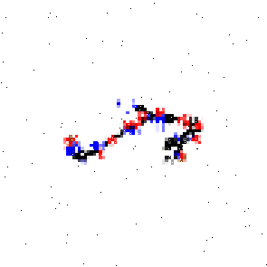 CC[C@@]1(OC(=O)OCc2ccc(NC(=O)[C@H](CCCCN)NC(=O)COCC(=O)NCCCOCCNC(=O)CCC/C=C\c3cnc(S(C)(=O)=O)nc3)cc2)C(=O)OCc2c1cc1n(c2=O)Cc2c-1nc1ccccc1c2CCN(C(C)C)S(C)(=O)=O